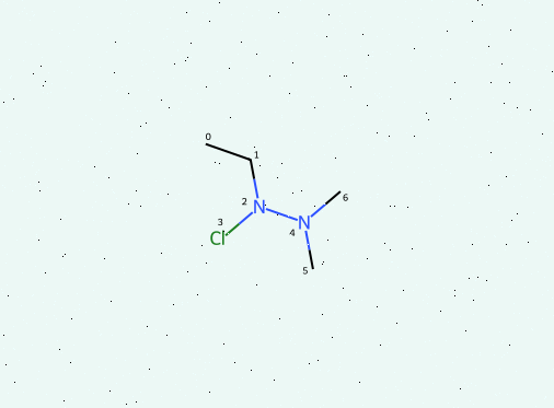 CCN(Cl)N(C)C